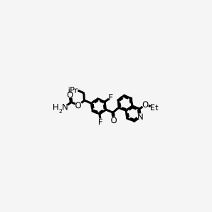 CCOc1nccc2c(C(=O)c3c(F)cc(C(CC(C)C)OC(N)=O)cc3F)cccc12